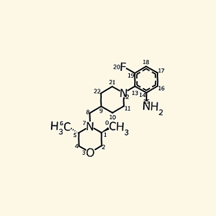 C[C@H]1COC[C@H](C)N1CC1CCN(c2c(N)cccc2F)CC1